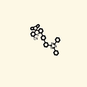 N#Cc1cccc2c1Sc1c(-c3ccc(-c4cccc(-c5nc(-c6ccccc6)nc(-c6ccccc6)n5)c4)cc3)cccc1C21c2ccccc2-c2ccccc21